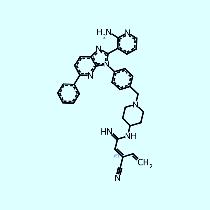 C=C/C(C#N)=C\C(=N)NC1CCN(Cc2ccc(-n3c(-c4cccnc4N)nc4ccc(-c5ccccc5)nc43)cc2)CC1